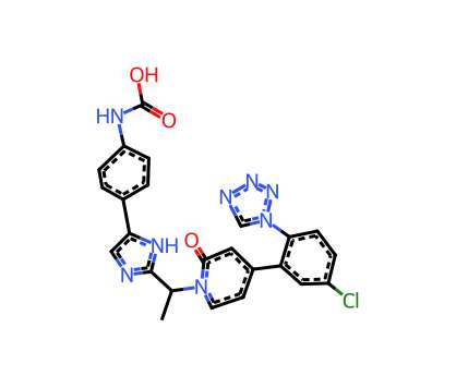 CC(c1ncc(-c2ccc(NC(=O)O)cc2)[nH]1)n1ccc(-c2cc(Cl)ccc2-n2cnnn2)cc1=O